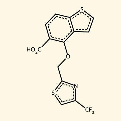 O=C(O)c1ccc2sccc2c1OCc1nc(C(F)(F)F)cs1